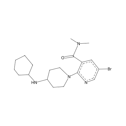 CN(C)C(=O)c1cc(Br)cnc1N1CCC(NC2CCCCC2)CC1